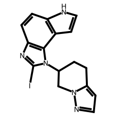 Ic1nc2ccc3[nH]ccc3c2n1C1CCc2ccnn2C1